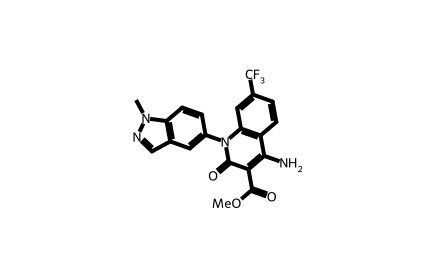 COC(=O)c1c(N)c2ccc(C(F)(F)F)cc2n(-c2ccc3c(cnn3C)c2)c1=O